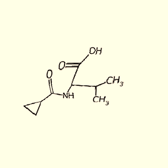 CC(C)C(NC(=O)C1CC1)C(=O)O